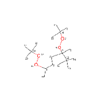 CC(CCC(C)(OOC(C)(C)C)C(C)(C)C)OOC(C)(C)C